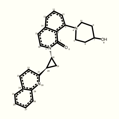 O=c1c2c(N3CCC(O)CC3)cccc2ccn1[C@@H]1C[C@H]1c1ccc2ccccc2n1